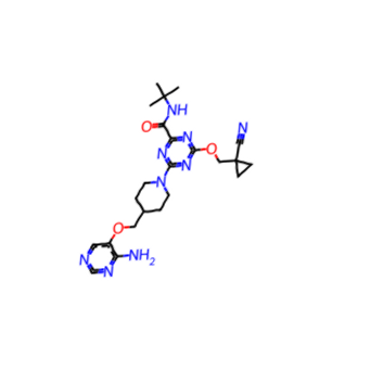 CC(C)(C)NC(=O)c1nc(OCC2(C#N)CC2)nc(N2CCC(COc3cncnc3N)CC2)n1